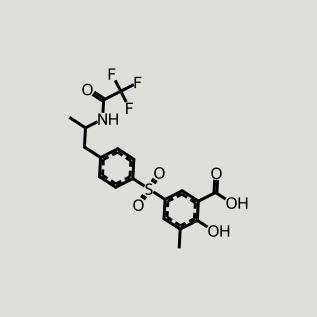 Cc1cc(S(=O)(=O)c2ccc(CC(C)NC(=O)C(F)(F)F)cc2)cc(C(=O)O)c1O